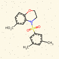 Cc1cc(C)cc(S(=O)(=O)N2CCOc3ccc(C(=O)O)cc32)c1